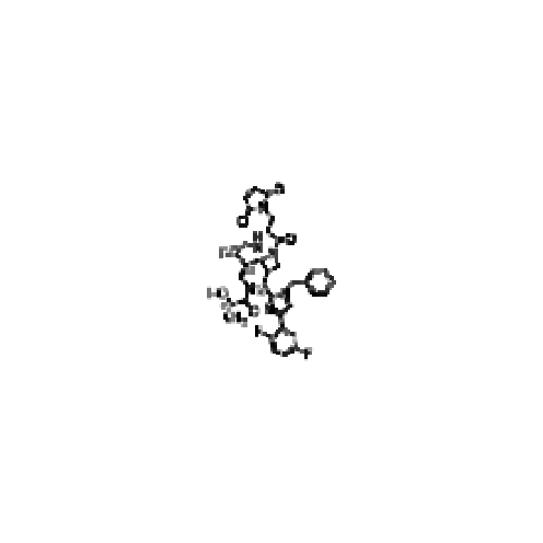 C[C@H](O)C(=O)N(C[C@@H]1CNC[C@@H]1F)[C@@H](c1nc(-c2cc(F)ccc2F)cn1Cc1ccccc1)C1CN(C(=O)CCN2C(=O)C=CC2=O)C1